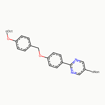 CCCCCCCCCc1cnc(-c2ccc(OCc3ccc(OCCCCCCCC)cc3)cc2)nc1